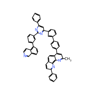 Cc1cc(-c2ccc(-c3cccc(-c4cc(-c5ccccc5)nc(-c5cccc(-c6cccc7cnccc67)c5)n4)c3)cc2)c2ccc3ccc(-c4ccccc4)nc3c2n1